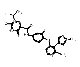 CC(C)n1cc(C(=O)Nc2ccc(Oc3ccnc(N)c3-c3cnn(C)c3)c(F)c2)c(=O)[nH]c1=O